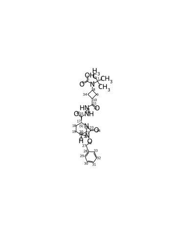 CC(C)(C)N(C(=O)O)C1CC(C(=O)NNC(=O)[C@@H]2CC[C@@H]3CN2C(=O)N3OCc2ccccc2)C1